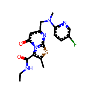 CCNC(=O)c1c(C)sc2nc(CN(C)c3ccc(F)cn3)cc(=O)n12